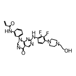 C=CC(=O)Nc1cccc(-n2cnc(=O)c3cnc(Nc4ccc(N5CCN(CCO)CC5)c(F)c4F)nc32)c1